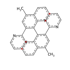 Cc1cc(-c2ncccn2)c(-c2c(-c3ncccn3)cc(C)c3ccccc23)c2ccccc12